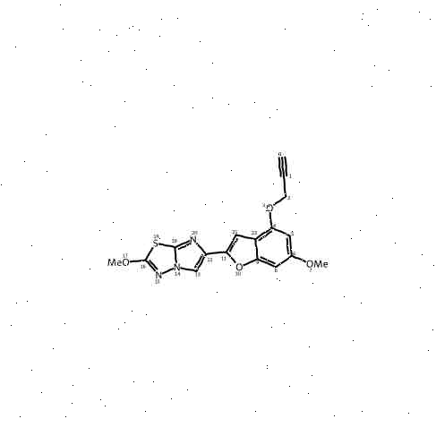 C#CCOc1cc(OC)cc2oc(-c3cn4nc(OC)sc4n3)cc12